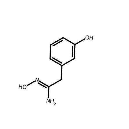 NC(Cc1cccc(O)c1)=NO